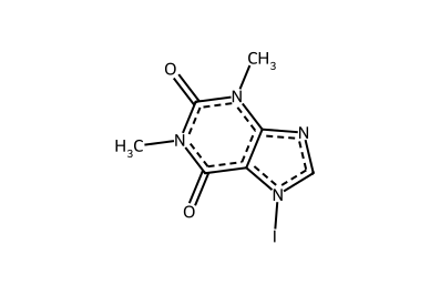 Cn1c(=O)c2c(ncn2I)n(C)c1=O